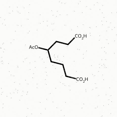 CC(=O)OC(CCCC(=O)O)CCC(=O)O